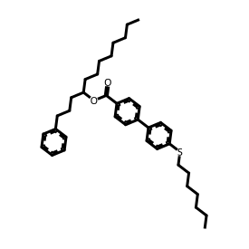 CCCCCCCCC(CCCc1ccccc1)OC(=O)c1ccc(-c2ccc(SCCCCCCC)cc2)cc1